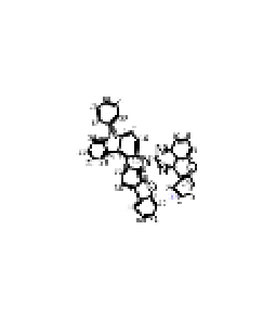 C/C=C\C1=C(C)OC2=CC=CC3=NC(n4c5ccc6c(c7ccccc7n6-c6ccccc6)c5c5ccc6c7ccccc7oc6c54)=NC1C23